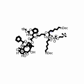 CCCCCCCCCCCCC/C=C/[C@@H](OC(=O)CCC(=O)O[C@@H](C(=O)O[C@H]1C[C@@]2(O)[C@@H](OC(=O)c3ccccc3)[C@@H]3[C@]4(OC(C)=O)CO[C@@H]4C[C@H](O)[C@@]3(C)C(=O)[C@H](O)C(=C1C)C2(C)C)[C@@H](NC(=O)OC(C)(C)C)c1ccccc1)[C@H](COP(=O)([O-])OCC[N+](C)(C)C)NC(=O)CCCCCCCCCCCCCCC